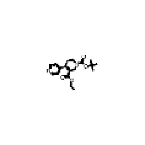 CCOC(=O)C1=C(c2ccncc2)CCN(C(=O)OC(C)(C)C)C1